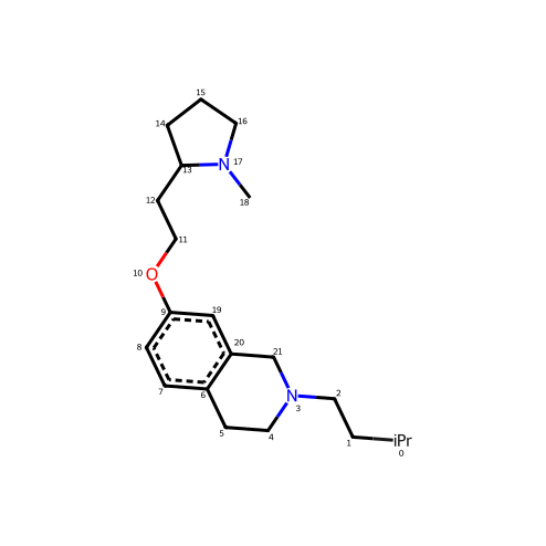 CC(C)CCN1CCc2ccc(OCCC3CCCN3C)cc2C1